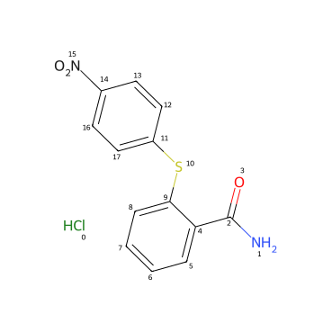 Cl.NC(=O)c1ccccc1Sc1ccc([N+](=O)[O-])cc1